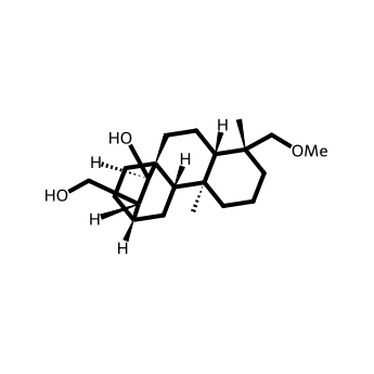 COC[C@]1(C)CCC[C@]2(C)[C@@H]1CC[C@@]13CC[C@@H](C[C@@H]21)[C@H](CO)[C@H]3O